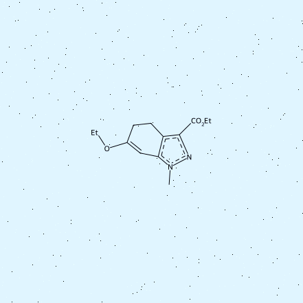 CCOC(=O)c1nn(C)c2c1CCC(OCC)=C2